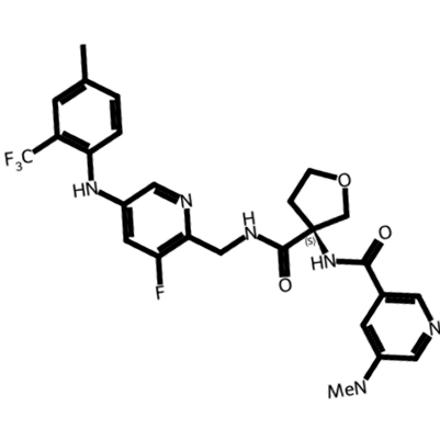 CNc1cncc(C(=O)N[C@@]2(C(=O)NCc3ncc(Nc4ccc(C)cc4C(F)(F)F)cc3F)CCOC2)c1